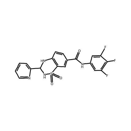 O=C(Nc1cc(F)c(F)c(F)c1)c1ccc2c(c1)S(=O)(=O)NC(c1ccccn1)N2